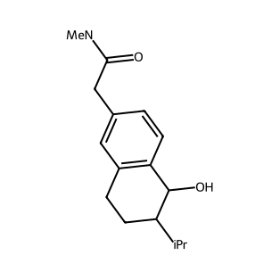 CNC(=O)Cc1ccc2c(c1)CCC(C(C)C)C2O